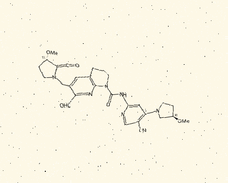 CO[C@@H]1CCN(c2cc(NC(=O)N3CCCc4cc(CN5CC[C@H](OC)C5=C=O)c(C=O)nc43)ncc2C#N)C1